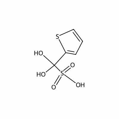 O=S(=O)(O)C(O)(O)c1cccs1